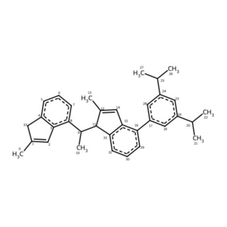 CC1=Cc2c(cccc2C(C)C2C(C)=Cc3c(-c4cc(C(C)C)cc(C(C)C)c4)cccc32)C1